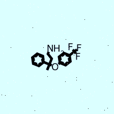 CC(CCN)(Oc1ccc(C(F)(F)F)cc1)c1ccccc1